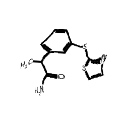 CC(C(N)=O)c1cccc(Sc2nccs2)c1